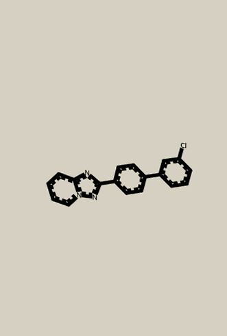 Clc1cccc(-c2ccc(-c3nc4ccccn4n3)cc2)c1